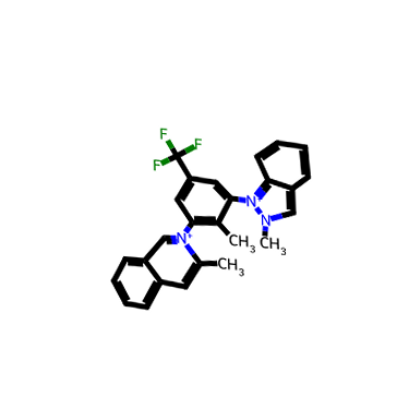 Cc1c(-[n+]2cc3ccccc3cc2C)cc(C(F)(F)F)cc1-[n+]1c2ccccc2cn1C